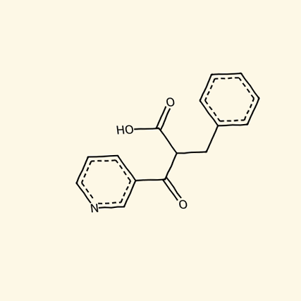 O=C(O)C(Cc1ccccc1)C(=O)c1cccnc1